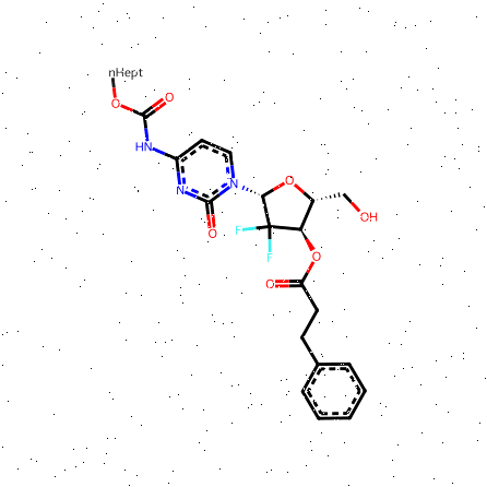 CCCCCCCOC(=O)Nc1ccn([C@@H]2O[C@H](CO)[C@@H](OC(=O)CCc3ccccc3)C2(F)F)c(=O)n1